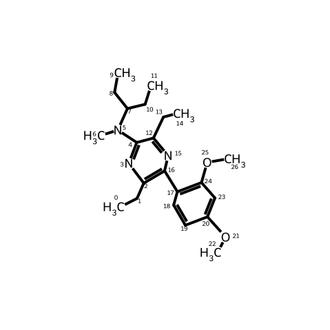 CCc1nc(N(C)C(CC)CC)c(CC)nc1-c1ccc(OC)cc1OC